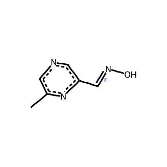 Cc1cncc(/C=N/O)n1